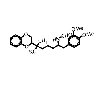 COc1ccc(CC(CCCC(C)(C#N)C2COc3ccccc3O2)NC=O)cc1OC